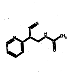 CC(=O)NCC([C]=S)c1ccccn1